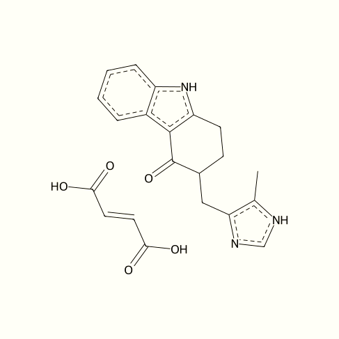 Cc1[nH]cnc1CC1CCc2[nH]c3ccccc3c2C1=O.O=C(O)C=CC(=O)O